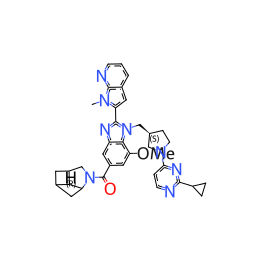 COc1cc(C(=O)N2CC3CC4CC2[C@H]43)cc2nc(-c3cc4cccnc4n3C)n(C[C@H]3CCN(c4ccnc(C5CC5)n4)C3)c12